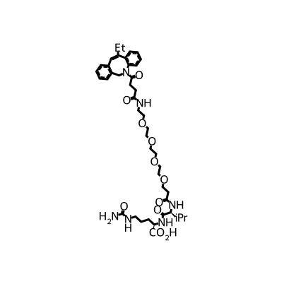 CC/C1=C/c2ccccc2CN(C(=O)CCC(=O)NCCOCCOCCOCCOCCC(=O)N[C@H](C(=O)N[C@@H](CCCNC(N)=O)C(=O)O)C(C)C)c2ccccc21